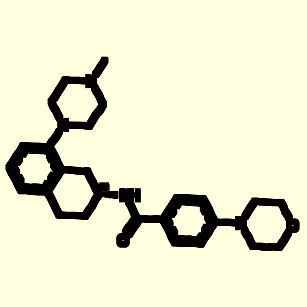 CN1CCN(c2cccc3c2C[C@H](NC(=O)c2ccc(N4CCOCC4)cc2)CC3)CC1